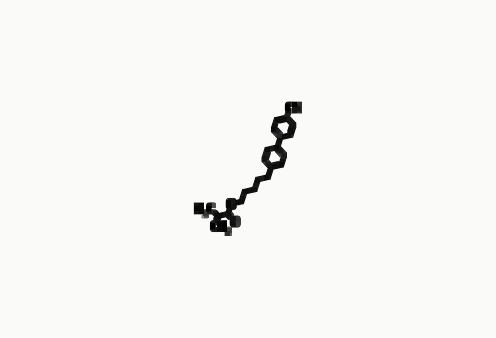 C=C(C)C(=O)OCCCCCc1ccc(-c2ccc(C#N)cc2)cc1